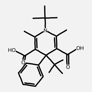 CC1=C(C(=O)O)C(c2ccccc2)(C(C)(C)C)C(C(=O)O)=C(C)N1C(C)(C)C